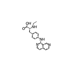 CCN[C@@H](Cc1ccc(Nc2nccc3ccncc23)cc1)C(=O)O